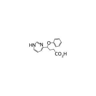 O=C(O)CCC(Oc1ccccc1)C1=CC=CNC=N1